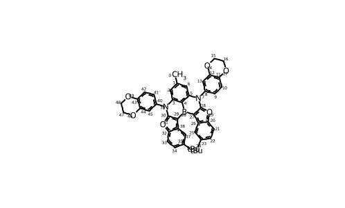 Cc1cc2c3c(c1)N(c1ccc4c(c1)OCCO4)c1oc4ccc(C(C)(C)C)cc4c1B3c1c(oc3ccc(C(C)(C)C)cc13)N2c1ccc2c(c1)OCCO2